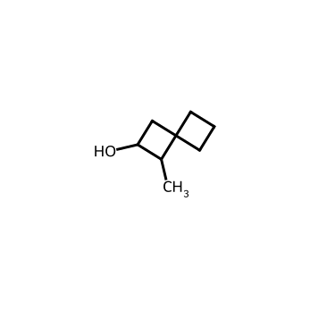 CC1C(O)CC12CCC2